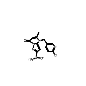 CCC[S+]([O-])c1cc2n(Cc3ccc(Cl)nc3)c(C)cc(=O)n2n1